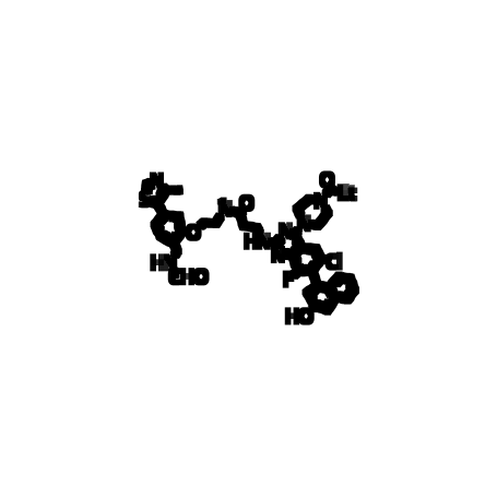 CCC(=O)N1CCN(c2nc(NCCC(=O)N(C)CCOc3cc(-c4scnc4C)ccc3CNC=O)nc3c(F)c(-c4cc(O)cc5ccccc45)c(Cl)cc23)CC1